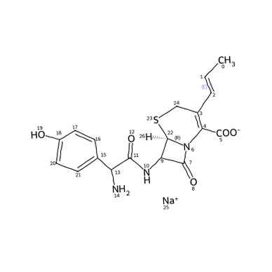 C/C=C/C1=C(C(=O)[O-])N2C(=O)C(NC(=O)C(N)c3ccc(O)cc3)[C@H]2SC1.[Na+]